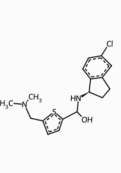 CN(C)Cc1ccc(C(O)N[C@@H]2CCc3cc(Cl)ccc32)s1